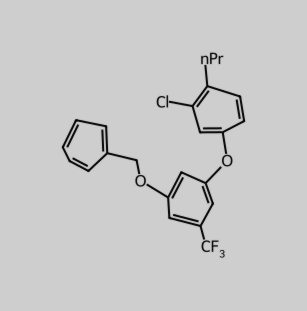 CCCc1ccc(Oc2cc(OCc3ccccc3)cc(C(F)(F)F)c2)cc1Cl